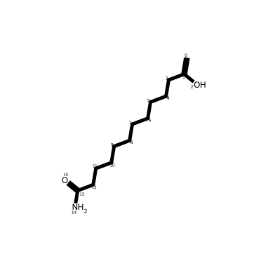 C=C(O)CCCCCCCCCCC(N)=O